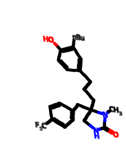 CCCCc1cc(CCCC2(Cc3ccc(C(F)(F)F)cc3)CNC(=O)N2C)ccc1O